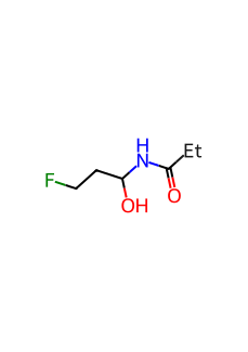 CCC(=O)NC(O)CCF